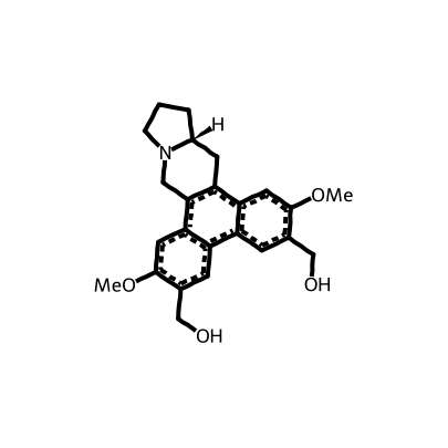 COc1cc2c3c(c4cc(OC)c(CO)cc4c2cc1CO)CN1CCC[C@@H]1C3